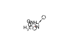 C[C@@]1(c2ccccc2)OC(=O)N[C@@H]1c1cncc(C#Cc2ccccc2)c1